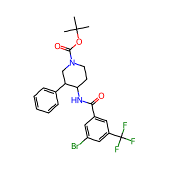 CC(C)(C)OC(=O)N1CCC(NC(=O)c2cc(Br)cc(C(F)(F)F)c2)C(c2ccccc2)C1